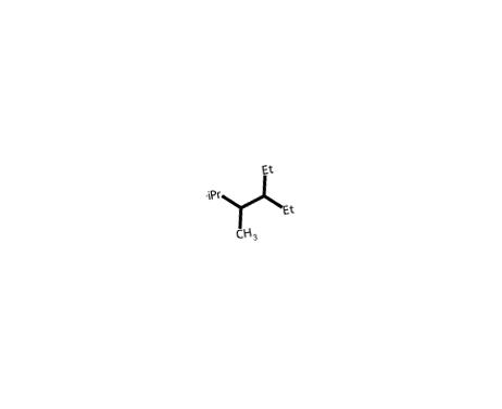 CCC(CC)C(C)[C](C)C